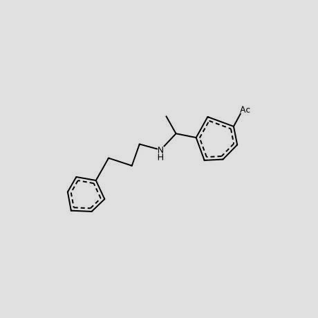 CC(=O)c1cccc(C(C)NCCCc2ccccc2)c1